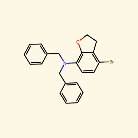 Brc1ccc(N(Cc2ccccc2)Cc2ccccc2)c2c1CCO2